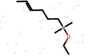 CC=CCCC[Si](C)(C)OCC